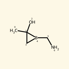 CC1(O)CB1CN